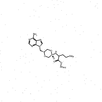 CCCCCOC(=O)C(CCSC)NP1(=O)CO[C@@H](Cn2cnc3c(N)ncnc32)CO1